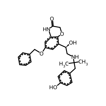 CC(C)(Cc1ccc(O)cc1)NC[C@H](O)c1cc(OCc2ccccc2)cc2c1OCC(=O)N2